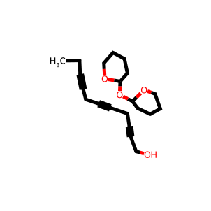 C1CCC(OC2CCCCO2)OC1.CCC#CCC#CCC#CCO